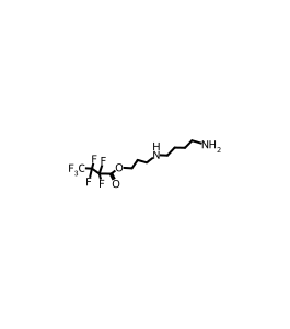 NCCCCNCCCOC(=O)C(F)(F)C(F)(F)C(F)(F)F